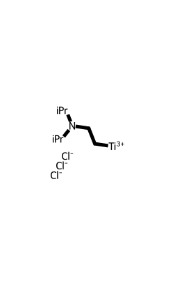 CC(C)N(C[CH2][Ti+3])C(C)C.[Cl-].[Cl-].[Cl-]